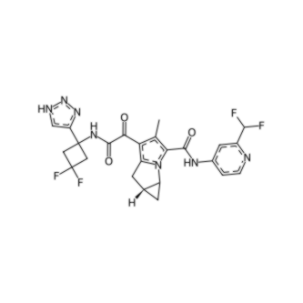 Cc1c(C(=O)C(=O)NC2(c3c[nH]nn3)CC(F)(F)C2)c2n(c1C(=O)Nc1ccnc(C(F)F)c1)C1C[C@@H]1C2